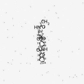 C=CC(=O)NC1C2CN(S(=O)(=O)c3ccc(NC(=O)c4cc5ccccc5s4)cc3)CC21